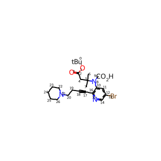 CC(C)(C)OC(=O)CC(C)(C)N(C(=O)O)c1cc(Br)cnc1C#CCCN1CCCCC1